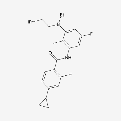 CCB(CCC(C)C)c1cc(F)cc(NC(=O)c2ccc(C3CC3)cc2F)c1C